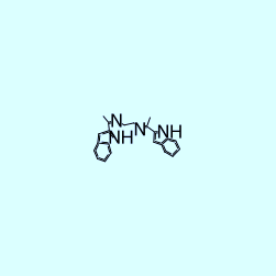 CC(=NCCN=C(C)c1cc2ccccc2[nH]1)c1cc2ccccc2[nH]1